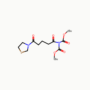 CC(C)(C)OC(=O)N(C(=O)CCCC(=O)N1CCSC1)C(=O)OC(C)(C)C